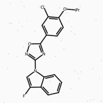 CC(C)Oc1ccc(-c2nc(-n3cc(F)c4ccccc43)no2)cc1Cl